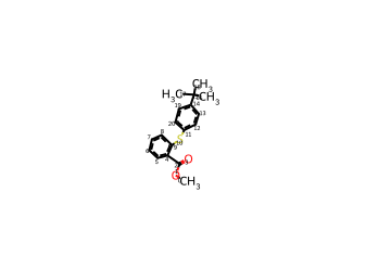 COC(=O)c1ccccc1Sc1ccc(C(C)(C)C)cc1